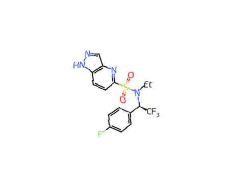 CCN([C@H](c1ccc(F)cc1)C(F)(F)F)S(=O)(=O)c1ccc2[nH]ncc2n1